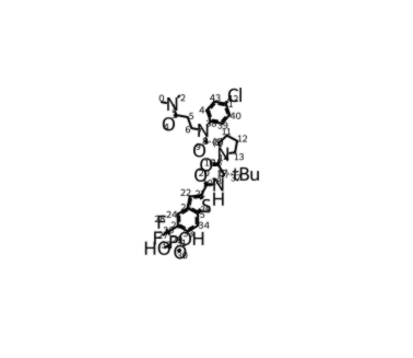 CN(C)C(=O)CCN(C(=O)[C@@H]1CCCN1C(=O)[C@@H](NC(=O)c1cc2cc(C(F)(F)P(=O)(O)O)ccc2s1)C(C)(C)C)c1ccc(Cl)cc1